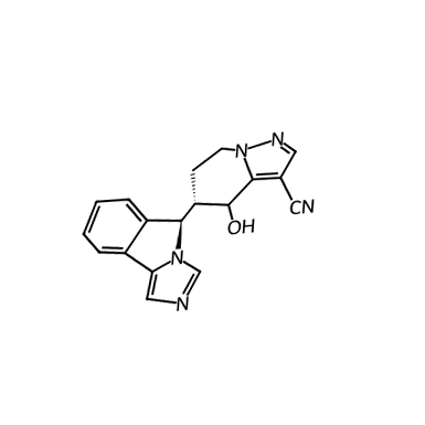 N#Cc1cnn2c1C(O)[C@H]([C@@H]1c3ccccc3-c3cncn31)CC2